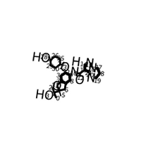 CC(C)(O)[C@@]1(C)Cc2cc(NC(=O)c3cnn4cccnc34)c(OC3CCC(O)CC3)cc2O1